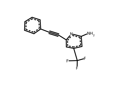 Nc1cc(C(F)(F)F)cc(C#Cc2ccccc2)n1